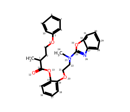 CC(CCOc1ccccc1)C(=O)Oc1ccccc1OCCN(C)c1nc2ccccc2o1